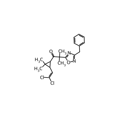 CC(C)(C(=O)C1C(C=C(Cl)Cl)C1(C)C)c1nc(Cc2ccccc2)no1